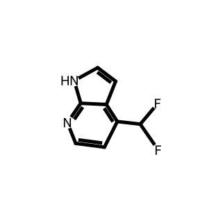 FC(F)c1ccnc2[nH]ccc12